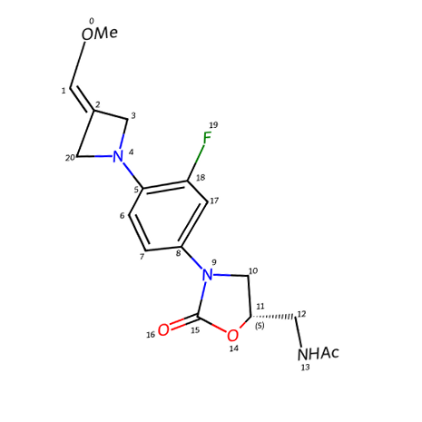 COC=C1CN(c2ccc(N3C[C@H](CNC(C)=O)OC3=O)cc2F)C1